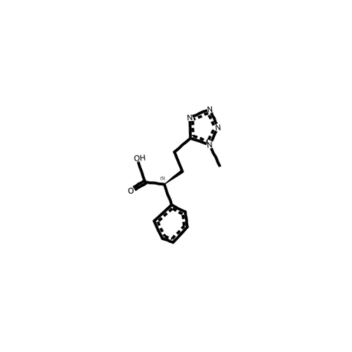 Cn1nnnc1CC[C@H](C(=O)O)c1ccccc1